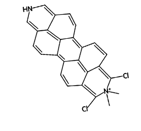 C[N+]1(C)C(Cl)=c2ccc3c4ccc5c6c(ccc(c7ccc(c2c37)=C1Cl)c64)=CNC=5